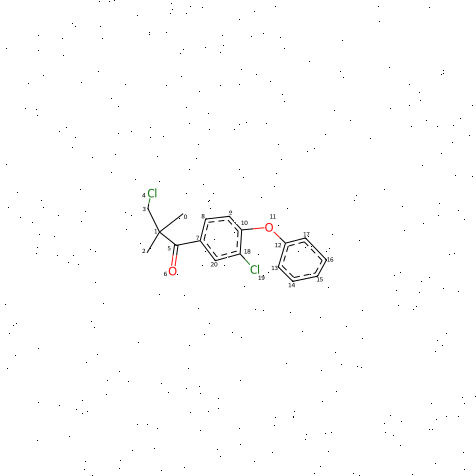 CC(C)(CCl)C(=O)c1ccc(Oc2ccccc2)c(Cl)c1